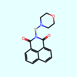 O=C1c2cccc3cccc(c23)C(=O)N1SN1CCOCC1